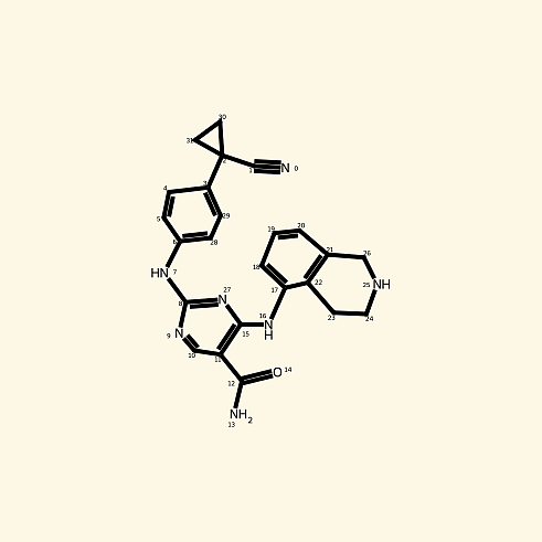 N#CC1(c2ccc(Nc3ncc(C(N)=O)c(Nc4cccc5c4CCNC5)n3)cc2)CC1